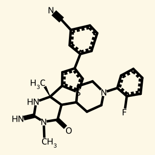 CN1C(=N)N[C@](C)(c2cc(-c3cccc(C#N)c3)cs2)C(C2CCN(c3ccccc3F)CC2)C1=O